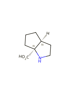 O=C(O)[C@]12CCC[C@H]1CCN2